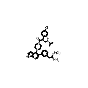 CC(C)NC[C@@H](C(=O)N1CCN(c2c(-c3cccc(CC(N)=O)c3)cnc3[nH]ccc23)CC1)c1ccc(Cl)cc1.Cl.Cl